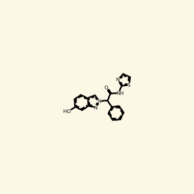 O=C(Nc1nccs1)C(c1ccccc1)n1cc2ccc(O)cc2n1